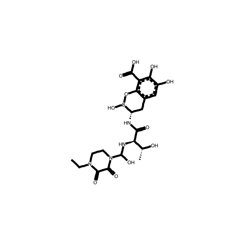 CCN1CCN(C(O)N[C@@H](C(=O)N[C@H]2Cc3cc(O)c(O)c(C(=O)O)c3OB2O)[C@@H](C)O)C(=O)C1=O